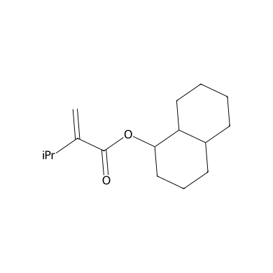 C=C(C(=O)OC1CCCC2CCCCC21)C(C)C